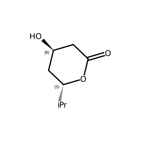 CC(C)[C@@H]1C[C@@H](O)CC(=O)O1